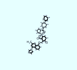 Cc1cc(-n2ccnc2)c2cccc(OCc3c(Cl)ccc(S(=O)(=O)N4CCC[C@H]4C(=O)N4CCN(c5ccccn5)CC4)c3Cl)c2n1